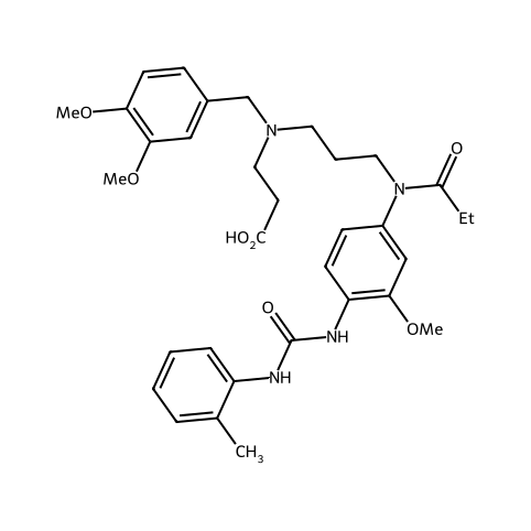 CCC(=O)N(CCCN(CCC(=O)O)Cc1ccc(OC)c(OC)c1)c1ccc(NC(=O)Nc2ccccc2C)c(OC)c1